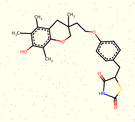 Cc1c(C)c2c(c(C)c1O)OCC(C)(CCOc1ccc(CC3SC(=O)NC3=O)cc1)C2